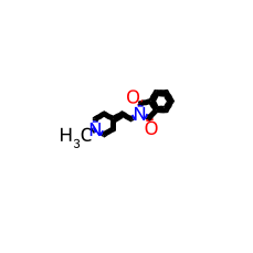 CN1CCC(=CCN2C(=O)c3ccccc3C2=O)CC1